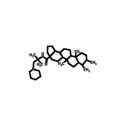 CC1CCC2(C)C(CCC3(C)C4CCC5(C(=O)NC(C)(C)CN6CCCCC6)CCCC5C4CCC23)C1C